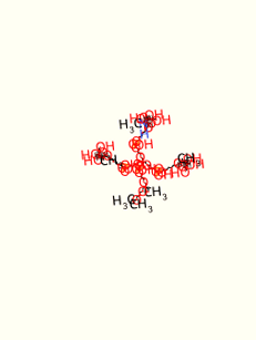 CCC(COCCCOC(C)C)COCCCOP(=O)(O)OCC(COCCCOP(=O)(O)OCCCCCCO[C@@H]1OC(CO)[C@H](O)[C@H](O)C1C)(COCCCOP(=O)(O)OCCCCCCO[C@@H]1OC(CO)[C@H](O)[C@H](O)C1C)COCCCOP(=O)(O)OCCCCCCO[C@@H]1OC(CO)[C@H](O)[C@H](O)C1NC(C)=O